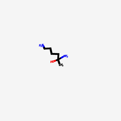 CC(N)(O)CCCCN